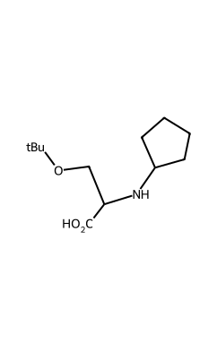 CC(C)(C)OCC(NC1CCCC1)C(=O)O